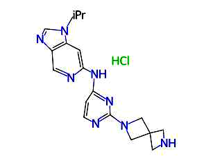 CC(C)n1cnc2cnc(Nc3ccnc(N4CC5(CNC5)C4)n3)cc21.Cl